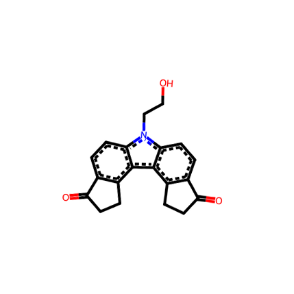 O=C1CCc2c1ccc1c2c2c3c(ccc2n1CCO)C(=O)CC3